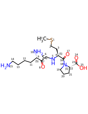 CSCC[C@H](N[Se]C(=O)[C@@H](N)CCCCN)C(=O)N1CCC[C@H]1C(=O)O